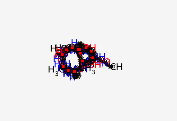 C#CCCCC(=O)NCCOCCC(=O)N[C@H]1C[C@H]2C(=O)N[C@@H](CC(=O)O)C(=O)N[C@H]3CSSC[C@H](NC(=O)C(Cc4c[nH]c5ccccc45)NC(=O)[C@H](C(C)C)NC(O)[C@H](CC(C)C)NC(=O)[C@H](CCC(=O)O)NC(=O)CNC(=O)[C@H](CC(C)C)NC(=O)[C@H](Cc4cnc[nH]4)NC(=O)[C@H](Cc4c[nH]c5ccccc45)NC(=O)[C@H](C)NC3=O)C(=O)N[C@@H]([C@@H](C)O)C(=O)N3CCC[C@@H]3C(=O)N2C1